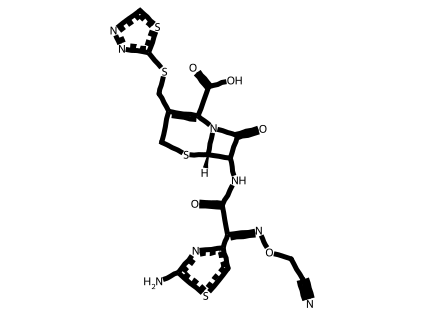 N#CCON=C(C(=O)NC1C(=O)N2C(C(=O)O)=C(CSc3nncs3)CS[C@@H]12)c1csc(N)n1